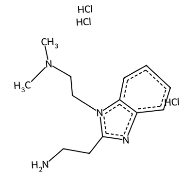 CN(C)CCn1c(CCN)nc2ccccc21.Cl.Cl.Cl